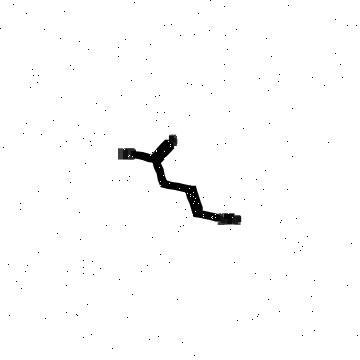 CSC=CCC(O)=S